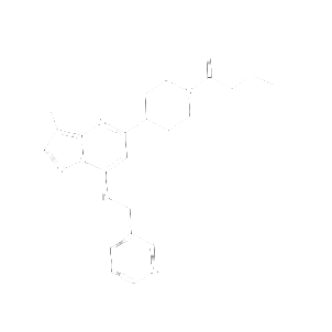 CSCC(=O)N1CCC(c2cc(NCc3cccnc3)n3ncc(Br)c3n2)CC1